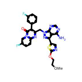 COCCOc1ncc(-c2nn(Cc3nc4ccc(F)cn4c(=O)c3-c3cccc(F)c3)c3ncnc(N)c23)s1